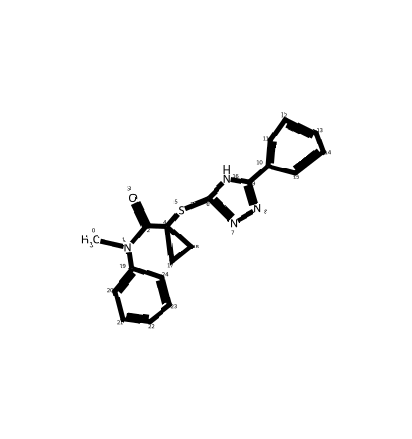 CN(C(=O)C1(Sc2nnc(-c3ccccc3)[nH]2)CC1)c1ccccc1